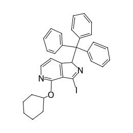 IC1=NC(C(c2ccccc2)(c2ccccc2)c2ccccc2)c2ccnc(OC3CCCCC3)c21